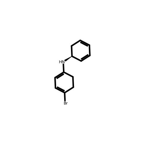 BrC1=CC=C(N[C@@H]2C=CC=CC2)CC1